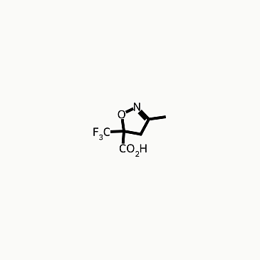 CC1=NOC(C(=O)O)(C(F)(F)F)C1